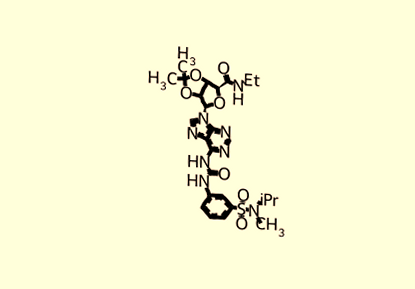 CCNC(=O)[C@H]1O[C@@H](n2cnc3c(NC(=O)Nc4cccc(S(=O)(=O)N(C)C(C)C)c4)ncnc32)C2OC(C)(C)OC21